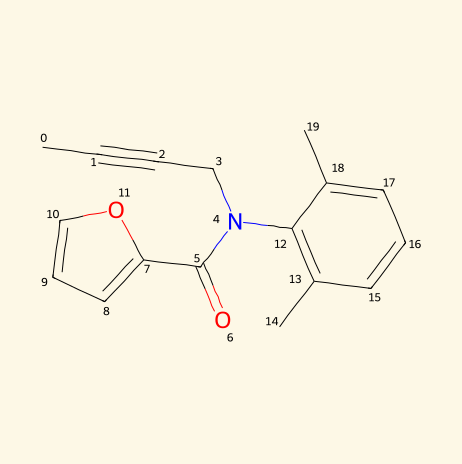 CC#CCN(C(=O)c1ccco1)c1c(C)cccc1C